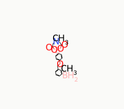 Bc1cccc(COc2ccc(B3OC(=O)CN(C)CC(=O)O3)cc2)c1C